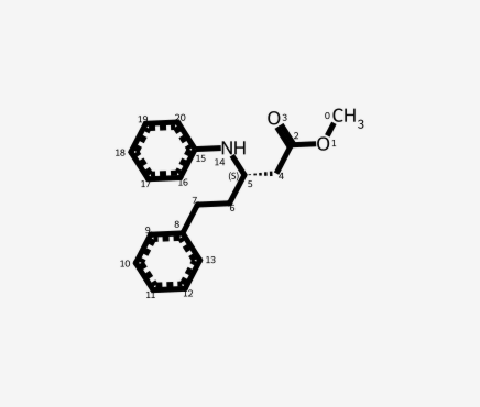 COC(=O)C[C@H](CCc1ccccc1)Nc1ccccc1